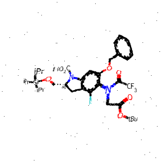 CC(C)[Si](OC[C@H]1Cc2c(cc(OCc3ccccc3)c(N(CC(=O)OC(C)(C)C)C(=O)C(F)(F)F)c2F)N1C(=O)O)(C(C)C)C(C)C